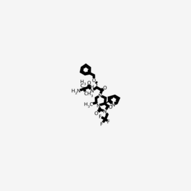 CC1CN(C(=O)[C@@H](COCc2ccccc2)NC(=O)C(C)(C)N)C[C@]2(c3ccccn3)C(=O)N(CC(F)(F)F)C(=O)N12